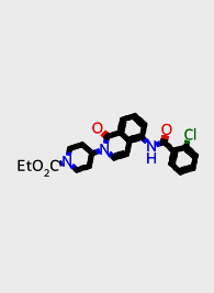 CCOC(=O)N1CCC(n2ccc3c(NC(=O)c4ccccc4Cl)cccc3c2=O)CC1